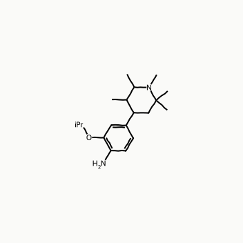 CC(C)Oc1cc(C2CC(C)(C)N(C)C(C)C2C)ccc1N